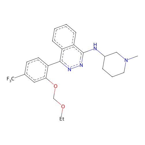 CCOCOc1cc(C(F)(F)F)ccc1-c1nnc(NC2CCCN(C)C2)c2ccccc12